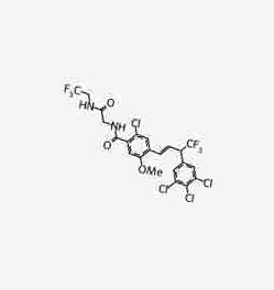 COc1cc(C(=O)NCC(=O)NCC(F)(F)F)c(Cl)cc1C=CC(c1cc(Cl)c(Cl)c(Cl)c1)C(F)(F)F